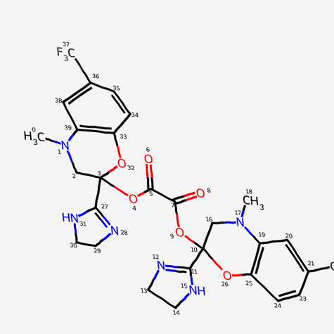 CN1CC(OC(=O)C(=O)OC2(C3=NCCN3)CN(C)c3cc(C(F)(F)F)ccc3O2)(C2=NCCN2)Oc2ccc(C(F)(F)F)cc21